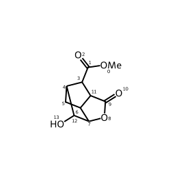 COC(=O)C1C2CC3C(OC(=O)C31)C2O